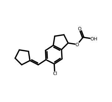 O=C(O)OC1CCc2cc(C=C3CCCC3)c(Cl)cc21